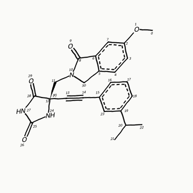 COc1ccc2c(c1)C(=O)N(C[C@@]1(C#Cc3cccc(C(C)C)c3)NC(=O)NC1=O)C2